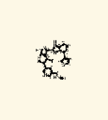 CCNCc1cncc(-c2cnc3[nH]nc(-c4nc5c(-c6ccsc6)nccc5[nH]4)c3c2F)c1